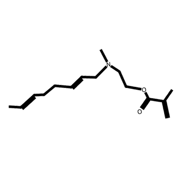 C=C(C)C(=O)OCCN(C)CC=CCCC=CC